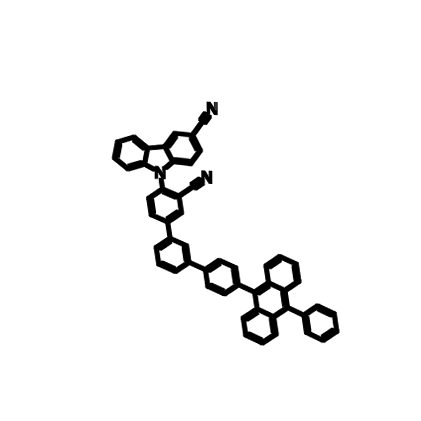 N#Cc1ccc2c(c1)c1ccccc1n2-c1ccc(-c2cccc(-c3ccc(-c4c5ccccc5c(-c5ccccc5)c5ccccc45)cc3)c2)cc1C#N